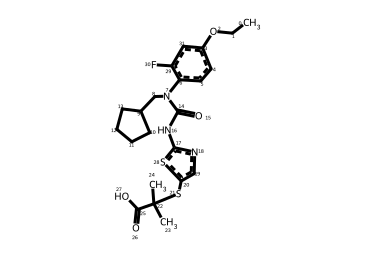 CCOc1ccc(N(CC2CCCC2)C(=O)Nc2ncc(SC(C)(C)C(=O)O)s2)c(F)c1